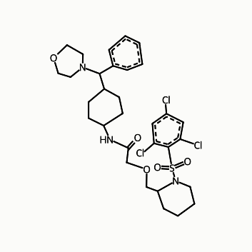 O=C(COCC1CCCCN1S(=O)(=O)c1c(Cl)cc(Cl)cc1Cl)NC1CCC(C(c2ccccc2)N2CCOCC2)CC1